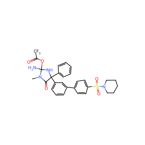 CN1C(=O)C(c2ccccc2)(c2cccc(-c3ccc(S(=O)(=O)N4CCCCC4)cc3)c2)NC1(N)OC(=O)C(F)(F)F